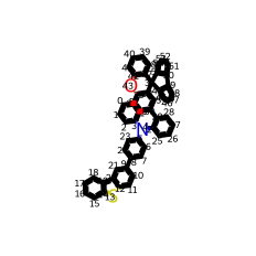 c1ccc(N(c2ccc(-c3ccc4sc5ccccc5c4c3)cc2)c2ccccc2-c2ccc3c(c2)C2(c4ccccc4O3)c3ccccc3-c3ccccc32)cc1